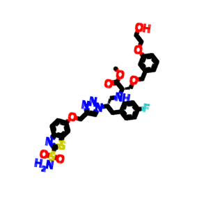 COC(=O)[C@H](COCc1cccc(OCCO)c1)NC[C@H](Cc1ccc(F)cc1)n1cc(COc2ccc3nc(S(N)(=O)=O)sc3c2)nn1